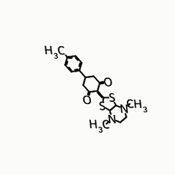 Cc1ccc(C2CC(=O)C(=C3SC4C(S3)N(C)CCN4C)C(=O)C2)cc1